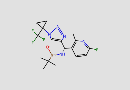 Cc1nc(F)ccc1[C@H](N[S+]([O-])C(C)(C)C)c1cn(C2(C(F)(F)F)CC2)nn1